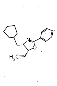 C=C[C@@H]1OC(c2ccccc2)=N[C@H]1CC1CCCCC1